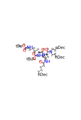 CCCCCCCCCCCCCCC(=O)N[C@H]1C[C@@H](C(=O)N(CCCCCCCCCCCC)CCCCCCCCCCCC)N(C(=O)[C@@H](CCCCNC(=O)OC(C)(C)C)NC(=O)OC(C)(C)C)C1